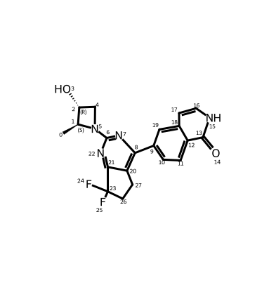 C[C@H]1[C@H](O)CN1c1nc(-c2ccc3c(=O)[nH]ccc3c2)c2c(n1)C(F)(F)CC2